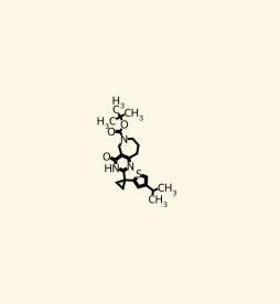 CC(C)c1csc(C2(c3nc4c(c(=O)[nH]3)CN(C(=O)OC(C)(C)C)CCC4)CC2)c1